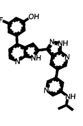 CC(C)Nc1cncc(-c2cnc3[nH]nc(-c4cc5c(-c6cc(O)cc(F)c6)ccnc5[nH]4)c3c2)c1